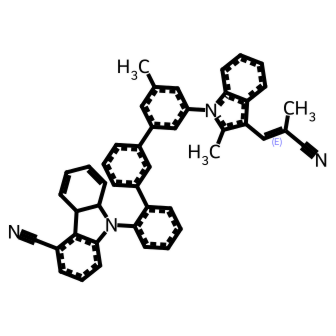 C/C(C#N)=C\c1c(C)n(-c2cc(C)cc(-c3cccc(-c4ccccc4N4c5cccc(C#N)c5C5C=CC=CC54)c3)c2)c2ccccc12